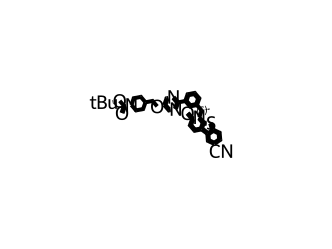 C[C@@H](c1cccc(-c2ncc(OCC3CCN(C(=O)OC(C)(C)C)CC3)cn2)c1)n1c(=O)ccc2c3cc(C#N)ccc3sc21